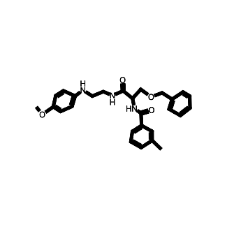 COc1ccc(NCCNC(=O)C(COCc2ccccc2)NC(=O)c2cccc(C)c2)cc1